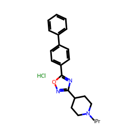 CC(C)N1CCC(c2noc(-c3ccc(-c4ccccc4)cc3)n2)CC1.Cl